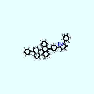 C1=CCCC(C2=c3ccccc3=C(C3=c4ccccc4=C(C4=CC=C(C5=CC=CC(c6ccccc6)N5)CC4)C4C=CC=CC34)CC2)=C1